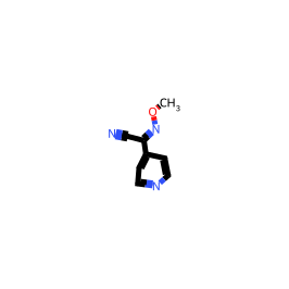 CO/N=C(\C#N)c1ccncc1